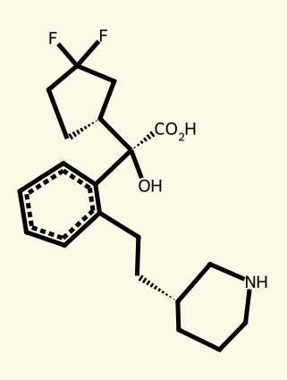 O=C(O)[C@](O)(c1ccccc1CC[C@H]1CCCNC1)[C@@H]1CCC(F)(F)C1